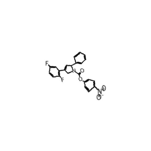 O=C(Oc1ccc([N+](=O)[O-])cc1)N1CC(c2cc(F)ccc2F)=CC1c1ccccc1